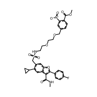 CNC(=O)c1c(-c2ccc(F)cc2)oc2cc(CS(=O)(=O)NCCOCCOCc3ccc(C(=O)OC)c([N+](=O)[O-])c3)c(C3CC3)cc12